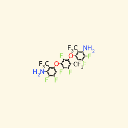 Nc1c(F)c(F)cc(Oc2c(F)c(F)c(C(F)(F)F)c(Oc3cc(F)c(F)c(N)c3C(F)(F)F)c2F)c1C(F)(F)F